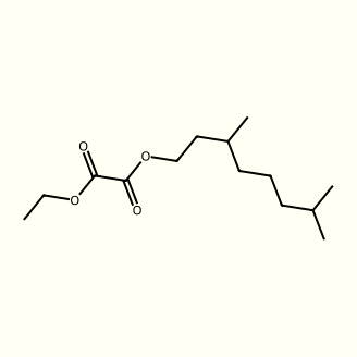 CCOC(=O)C(=O)OCCC(C)CCCC(C)C